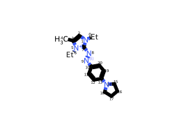 CCn1cc(C)[n+](CC)c1/N=N/c1ccc(N2CCCC2)cc1